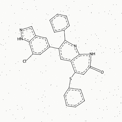 O=c1cc(Sc2ccccc2)c2cc(-c3cc(Cl)c4[nH]ncc4c3)c(-c3ccccc3)nc2[nH]1